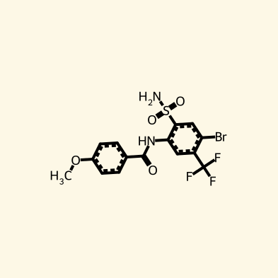 COc1ccc(C(=O)Nc2cc(C(F)(F)F)c(Br)cc2S(N)(=O)=O)cc1